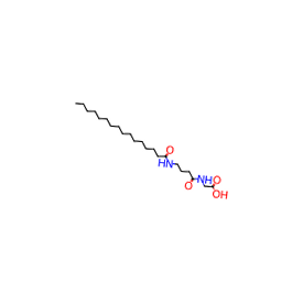 CCCCCCCCCCCCCCCC(=O)NCCCC(=O)NCC(=O)O